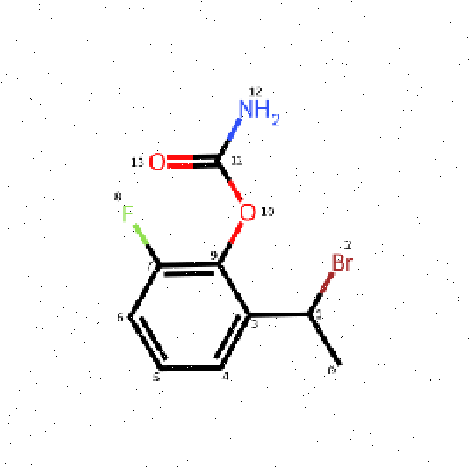 CC(Br)c1cccc(F)c1OC(N)=O